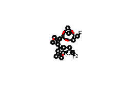 C=CC1=CCC(C2(C3C=CC=CC3)C3CCC=CC3C3C=CC(N(C4=CC=C(C5=CC(C6=CCC(F)C=C6)=CCC5)CC4)C4=CC5=C(CC4)[Si](C4=CC=CCC4)(c4ccccc4)c4ccc(N6C7=CCC(C=C7)C7=CCCC(C8C=CC(F)=CC8)/C7=C/C7C=CC(=CC7)C7C=CC=CC7c7ccc6cc7C6C=CC=CC6)cc45)CC32)C=C1